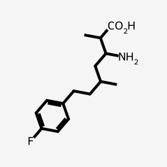 CC(CCc1ccc(F)cc1)CC(N)C(C)C(=O)O